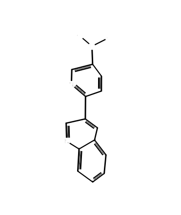 OB(O)c1ccc(-c2cnc3ccccc3c2)nc1